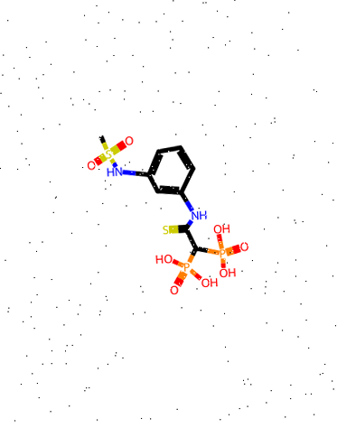 CS(=O)(=O)Nc1cccc(NC(=S)C(P(=O)(O)O)P(=O)(O)O)c1